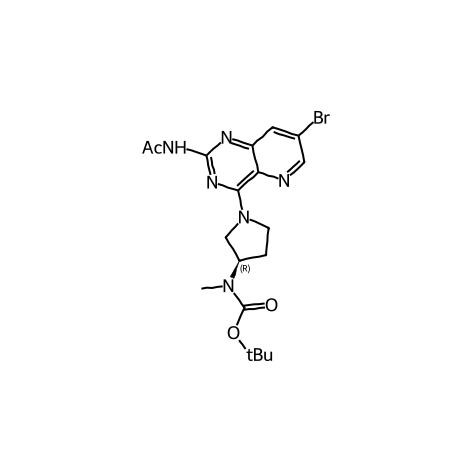 CC(=O)Nc1nc(N2CC[C@@H](N(C)C(=O)OC(C)(C)C)C2)c2ncc(Br)cc2n1